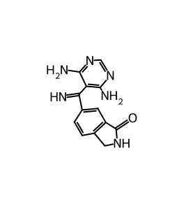 N=C(c1ccc2c(c1)C(=O)NC2)c1c(N)ncnc1N